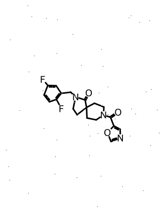 O=C(c1cnco1)N1CCC2(CC1)CCN(Cc1cc(F)ccc1F)C2=O